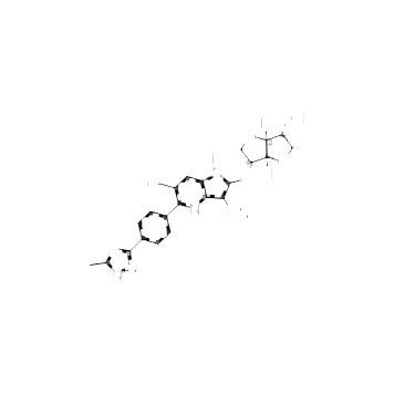 Cc1nnc(-c2ccc(-c3nc4c(C#N)c(O[C@@H]5CO[C@H]6[C@@H]5OC[C@H]6O)[nH]c4cc3Cl)cc2)o1